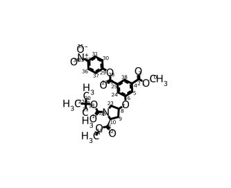 COC(=O)c1cc(OC2C[C@@H](C(=O)OC)N(C(=O)OC(C)(C)C)C2)cc(C(=O)Oc2ccc([N+](=O)[O-])cc2)c1